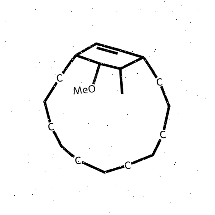 COC1C2C=CC(CCCCCCCCCCC2)C1C